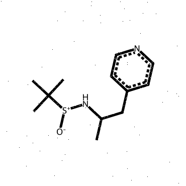 CC(Cc1ccncc1)N[S+]([O-])C(C)(C)C